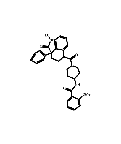 CCNC(=O)[C@]1(c2ccccc2)CCC(C(=O)N2CCC(NC(=O)c3ccccc3OC)CC2)c2ccccc21